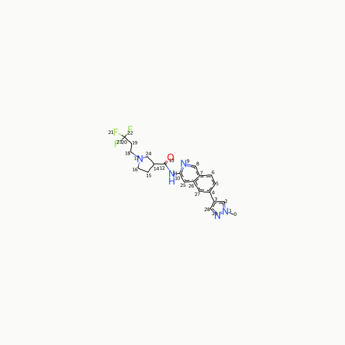 Cn1cc(-c2ccc3cnc(NC(=O)C4CCN(CCC(F)(F)F)C4)cc3c2)cn1